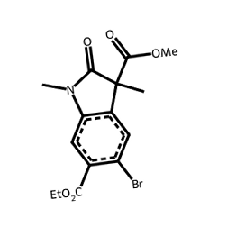 CCOC(=O)c1cc2c(cc1Br)C(C)(C(=O)OC)C(=O)N2C